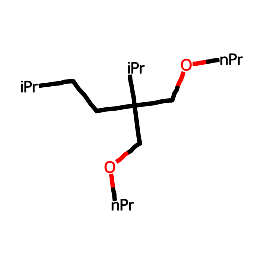 CCCOCC(CCC(C)C)(COCCC)C(C)C